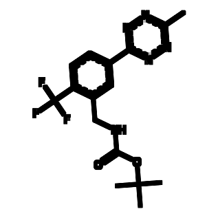 Cc1nnc(-c2ccc(C(F)(F)F)c(CNC(=O)OC(C)(C)C)c2)nn1